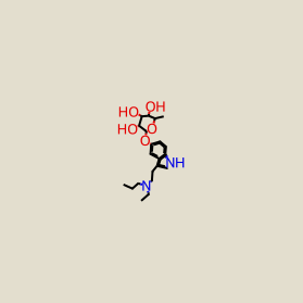 CCCN(CC)CCc1c[nH]c2ccc(OC3OC(C)C(O)C(O)C3O)cc12